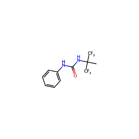 CC(NC(=O)Nc1ccccc1)(C(F)(F)F)C(F)(F)F